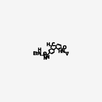 CCNCc1nnc(-c2ccc(-c3cc(C(=O)NC4CC4)ccc3C)cc2)o1